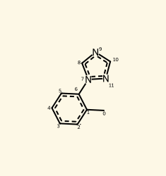 Cc1[c]cccc1-n1cncn1